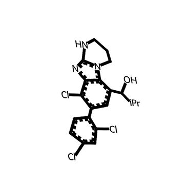 CC(C)C(O)c1cc(-c2ccc(Cl)cc2Cl)c(Cl)c2nc3n(c12)CCCN3